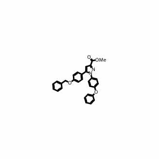 COC(=O)c1cc(-c2ccc(OCc3ccccc3)cc2)n(-c2ccc(Oc3ccccc3)cc2)n1